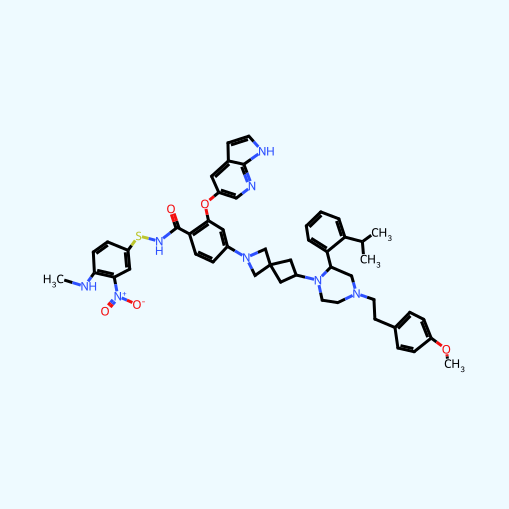 CNc1ccc(SNC(=O)c2ccc(N3CC4(CC(N5CCN(CCc6ccc(OC)cc6)CC5c5ccccc5C(C)C)C4)C3)cc2Oc2cnc3[nH]ccc3c2)cc1[N+](=O)[O-]